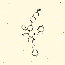 CCn1c(=O)n(-c2ccc(OCc3ccccc3)nc2OCc2ccccc2)c2ccc(N3CCC(CC(=O)O)CC3)cc21